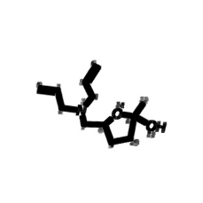 C=CCN(CC=C)CC1CCC(C)(O)O1